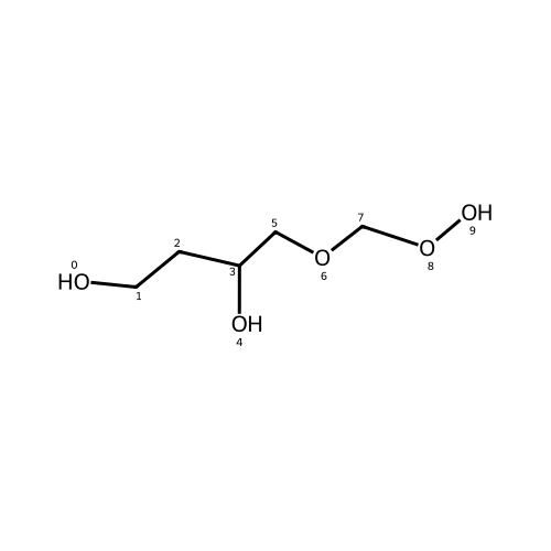 OCCC(O)COCOO